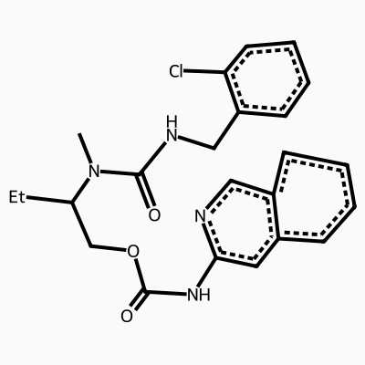 [CH2]CC(COC(=O)Nc1cc2ccccc2cn1)N(C)C(=O)NCc1ccccc1Cl